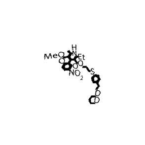 CCC1=C(C(=O)OCCCSc2ccc(CCOC3CCCCO3)cc2)C(c2cccc([N+](=O)[O-])c2)C(C(=O)OC)=C(C)N1